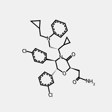 NC(=O)C[C@H]1O[C@H](c2cccc(Cl)c2)[C@@H](c2ccc(Cl)cc2)N([C@H](CN(CC2CC2)c2ccccc2)C2CC2)C1=O